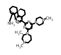 C[C@H]1CN(C)CCCN1c1cc(N2CCN(C)CC2)nc(-c2onc3c2CCC[C@@]32CCCc3sc(N)c(C#N)c32)n1